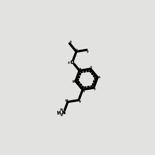 CC(C)Oc1cccc(CCN)c1